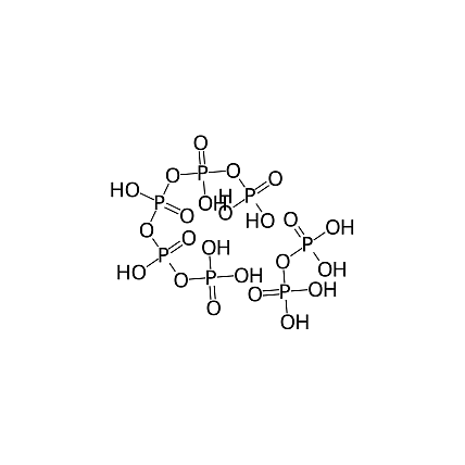 O=P(O)(O)OP(=O)(O)O.O=P(O)(O)OP(=O)(O)OP(=O)(O)OP(=O)(O)OP(=O)(O)O